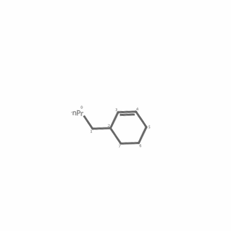 CC[CH]CC1C=CCCC1